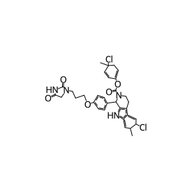 CC1C=c2[nH]c3c(c2=CC1Cl)CCN(C(=O)OC1=CCC(C)(Cl)C=C1)C3c1ccc(OCCCN2CC(=O)NC2=O)cc1